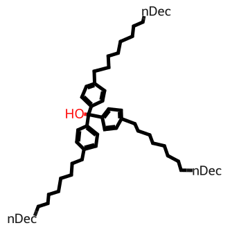 CCCCCCCCCCCCCCCCCCc1ccc(C(O)(c2ccc(CCCCCCCCCCCCCCCCCC)cc2)c2ccc(CCCCCCCCCCCCCCCCCC)cc2)cc1